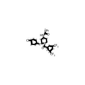 CCCC(=O)N[C@H]1CCN(C(=O)c2cc(C(F)(F)F)cc(C(F)(F)F)c2)[C@H](Cc2ccc(Cl)cc2)C1